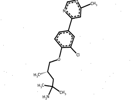 Cc1cc(-c2ccc(OC[C@@H](C)CC(C)(C)N)c(Cl)c2)ncn1